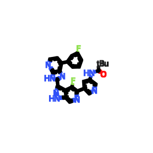 CC(C)(C)C(=O)Nc1cncc(-c2ncc3[nH]nc(-c4nc5c(-c6cccc(F)c6)ccnc5[nH]4)c3c2F)c1